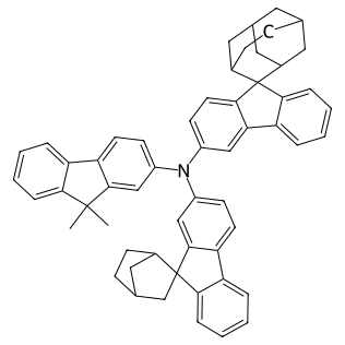 CC1(C)c2ccccc2-c2ccc(N(c3ccc4c(c3)-c3ccccc3C43C4CCC5CC(C4)CC3C5)c3ccc4c(c3)C3(CC5CCC3C5)c3ccccc3-4)cc21